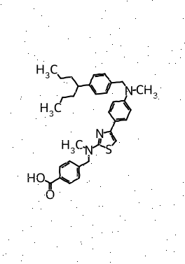 CCCC(CCC)c1ccc(CN(C)c2ccc(-c3csc(N(C)Cc4ccc(C(=O)O)cc4)n3)cc2)cc1